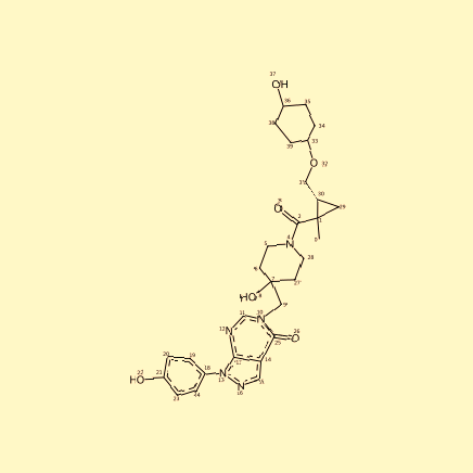 CC1(C(=O)N2CCC(O)(Cn3cnc4c(cnn4-c4ccc(O)cc4)c3=O)CC2)CC1COC1CCC(O)CC1